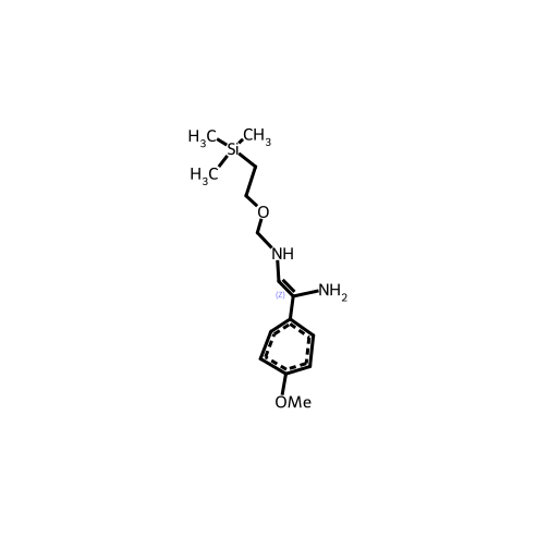 COc1ccc(/C(N)=C/NCOCC[Si](C)(C)C)cc1